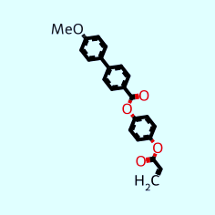 C=CC(=O)Oc1ccc(OC(=O)c2ccc(-c3ccc(OC)cc3)cc2)cc1